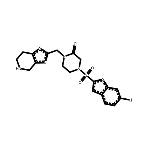 O=C1CN(S(=O)(=O)c2cc3ccc(Cl)cc3s2)CCN1Cc1nc2c(s1)CCNC2